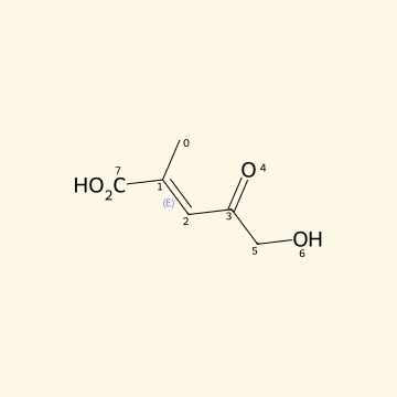 C/C(=C\C(=O)CO)C(=O)O